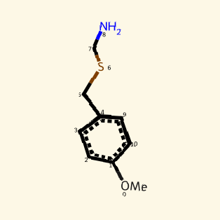 COc1ccc(CSCN)cc1